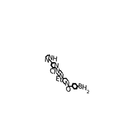 Bc1ccc(C(=O)N2CCC(N3CCN(c4ncc(C5=NCCN5)cc4Cl)C[C@@H]3CC)CC2)cc1